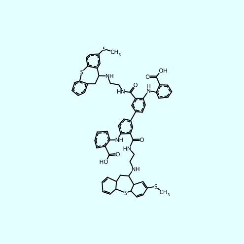 CSC1=CC2C(NCCNC(=O)c3cc(-c4ccc(Nc5ccccc5C(=O)O)c(C(=O)NCCNC5Cc6ccccc6Sc6ccc(SC)cc65)c4)ccc3Nc3ccccc3C(=O)O)CC3C=CC=CC3SC2C=C1